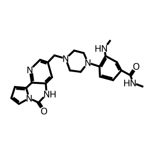 CNC(=O)c1ccc(N2CCN(Cc3cnc4c(c3)[nH]c(=O)n3cccc43)CC2)c(NC)c1